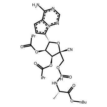 CCCCOC(=O)[C@H](C)N[PH](=O)OC[C@@]1(C#N)O[C@@H](c2ccc3c(N)ncnn23)[C@H](OC(=O)C(C)C)[C@@H]1OC(=O)C(C)C